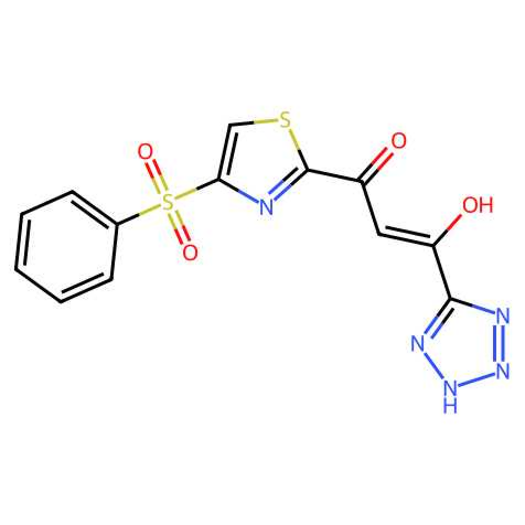 O=C(C=C(O)c1nn[nH]n1)c1nc(S(=O)(=O)c2ccccc2)cs1